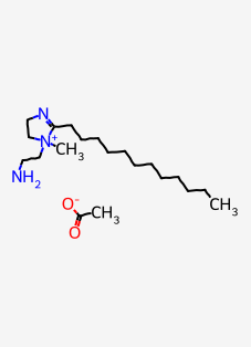 CC(=O)[O-].CCCCCCCCCCCCC1=NCC[N+]1(C)CCN